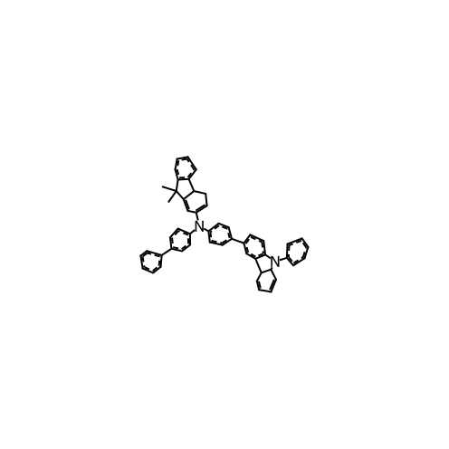 CC1(C)C2=CC(N(c3ccc(-c4ccccc4)cc3)c3ccc(-c4ccc5c(c4)C4C=CC=CC4N5c4ccccc4)cc3)=CCC2c2ccccc21